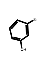 Oc1cc[c]c(Br)c1